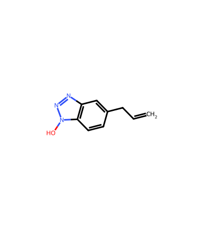 C=CCc1ccc2c(c1)nnn2O